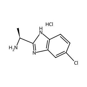 C[C@H](N)c1nc2cc(Cl)ccc2[nH]1.Cl